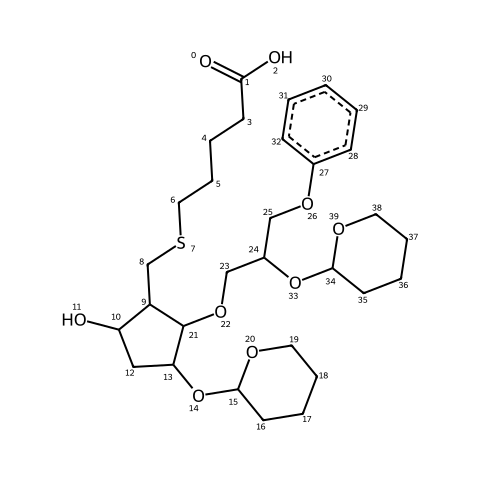 O=C(O)CCCCSCC1C(O)CC(OC2CCCCO2)C1OCC(COc1ccccc1)OC1CCCCO1